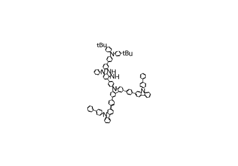 CC(C)(C)c1ccc(N(c2ccc(-c3ccc(N(C4=CC=C(c5ccc(-n6c7ccc(-c8ccc(-c9ccc%10c%11ccccc%11n(-c%11ccc(-c%12ccccc%12)cc%11)c%10c9)cc8)cc7c7cc(-c8ccc(-c9ccc%10c%11ccccc%11n(-c%11ccc(-c%12ccccc%12)cc%11)c%10c9)cc8)ccc76)cc5)C(=N)C4=N)c4ccccc4)cc3)cc2)c2ccc(C(C)(C)C)cc2)cc1